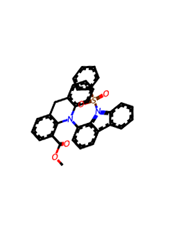 COC(=O)c1cccc2c1N(c1cccc3c4ccccc4n(S(=O)(=O)c4ccccc4)c13)c1ccccc1C2